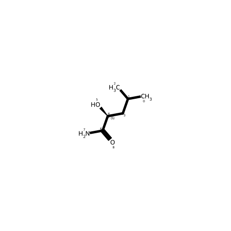 CC(C)C[C@H](O)C(N)=O